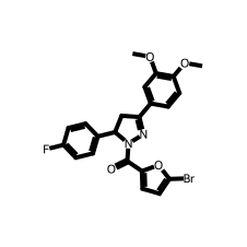 COc1ccc(C2=NN(C(=O)c3ccc(Br)o3)C(c3ccc(F)cc3)C2)cc1OC